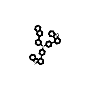 c1cc(-c2ccc3ccccc3c2)cc(N(c2ccc(-c3cccc4oc5ccccc5c34)cc2)c2ccc(-c3cccc4sc5ccccc5c34)cc2)c1